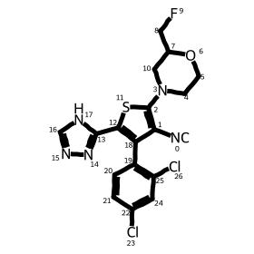 [C-]#[N+]c1c(N2CCOC(CF)C2)sc(-c2nnc[nH]2)c1-c1ccc(Cl)cc1Cl